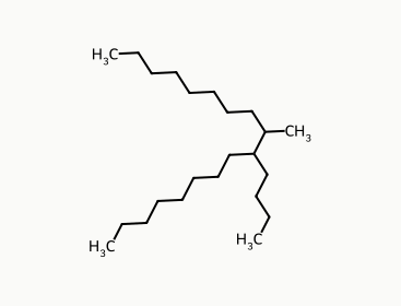 CCCCCCCCC(C)C(CCCC)CCCCCCCC